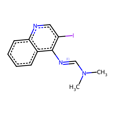 CN(C)/C=N/c1c(I)cnc2ccccc12